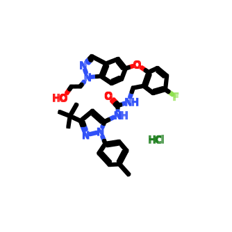 Cc1ccc(-n2nc(C(C)(C)C)cc2NC(=O)NCc2cc(F)ccc2Oc2ccc3c(cnn3CCO)c2)cc1.Cl